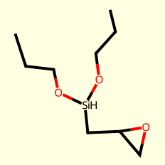 CCCO[SiH](CC1CO1)OCCC